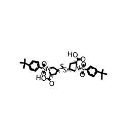 CC(C)(C)c1ccc(S(=O)(=O)N2C[C@H](SS[C@@H]3C[C@@H](C(=O)O)N(S(=O)(=O)c4ccc(C(C)(C)C)cc4)C3)C[C@H]2C(=O)O)cc1